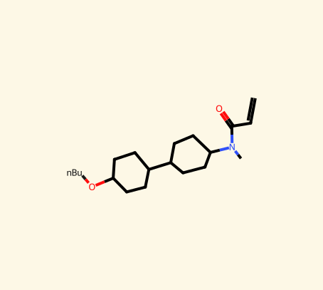 C=CC(=O)N(C)C1CCC(C2CCC(OCCCC)CC2)CC1